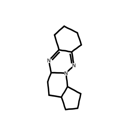 C1CCC2=NN3C(CCC4CCCC43)N=C2C1